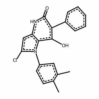 Cc1ccc(-n2c(Cl)cc3[nH]c(=O)c(-c4ccccc4)c(O)c32)cc1C